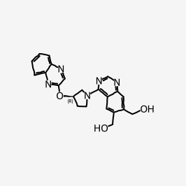 OCc1cc2ncnc(N3CC[C@@H](Oc4cnc5ccccc5n4)C3)c2cc1CO